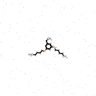 CCCCCSc1cc(CC)cc(SCCCCC)c1